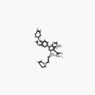 NC(=O)c1c(NCCN2CCCC2)cc(-c2ccc3c(c2)ncn3C2CCCCC2)c2nc[nH]c12